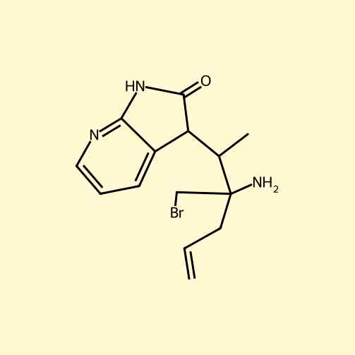 C=CCC(N)(CBr)C(C)C1C(=O)Nc2ncccc21